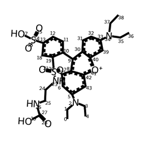 CCN(CC)c1ccc2c(-c3ccc(S(=O)(=O)O)cc3S(=O)(=O)NCCNC(=O)O)c3ccc(N(CC)CC)cc3[o+]c2c1